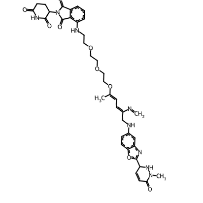 C=N/C(=C\C=C(/C)OCCOCCOCCNc1cccc2c1C(=O)N(C1CCC(=O)NC1=O)C2=O)CNc1ccc2oc(C3C=CC(=O)N(C)N3)nc2c1